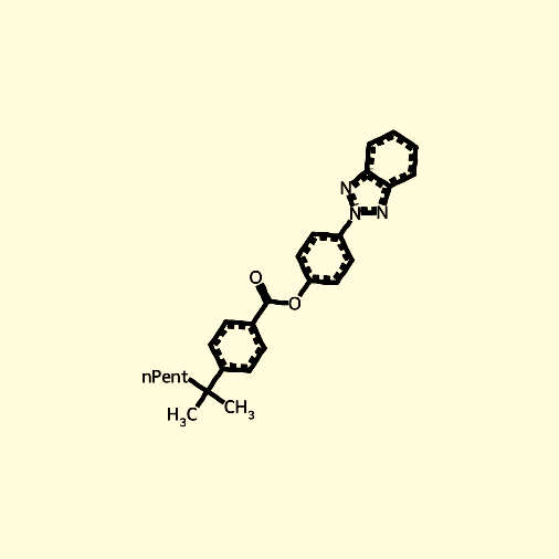 CCCCCC(C)(C)c1ccc(C(=O)Oc2ccc(-n3nc4ccccc4n3)cc2)cc1